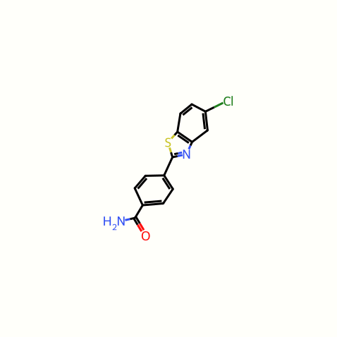 NC(=O)c1ccc(-c2nc3cc(Cl)ccc3s2)cc1